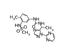 Cc1ccc(NC(=O)NC(C)c2ncnn2-c2ncccn2)cc1NS(C)(=O)=O